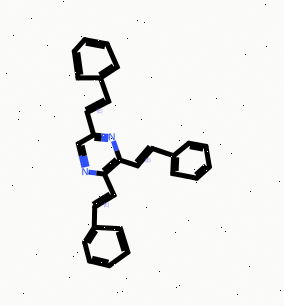 C(=C\c1cnc(/C=C/c2ccccc2)c(/C=C/c2ccccc2)n1)/c1ccccc1